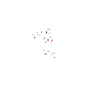 c1ccc(N(c2ccccc2)c2ccc3sc4cc(-c5ccccc5N(c5ccccc5)c5ccc6sc7ccccc7c6c5)ccc4c3c2)cc1